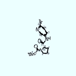 CC(C)(C)OC(=O)N1CCC[C@H]1C(=O)Nc1ccc(Br)nc1